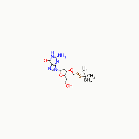 BC(C)(C)SSCO[C@@H]1C[C@H](n2cnc3c(=O)[nH]c(N)nc32)OC1CCO